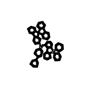 c1ccc(-c2ccc(N(c3ccc4c(c3)C3(c5ccccc5-c5ccccc53)c3ccccc3-4)c3cccc4c3-c3ccccc3[Si]4(c3ccccc3)c3ccccc3)cc2)cc1